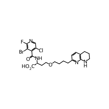 O=C(N[C@@H](CCOCCCCc1ccc2c(n1)NCCC2)C(=O)O)c1c(Cl)cnc(F)c1Br